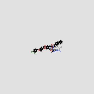 Cc1nc(N)sc1S(=O)(=O)N1Cc2cc3c(cc2C[C@H]1C(=O)NC(Cc1ccc(-c2ccccc2)cc1)C(=O)O)OC[C@H](c1ccc(OCc2ccc(Cl)c(Cl)c2)cc1)O3